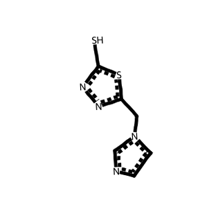 Sc1nnc(Cn2ccnc2)s1